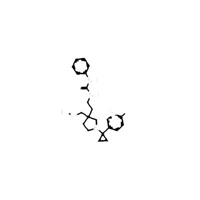 CCOCC1(CCNC(=O)Nc2ccccc2)CCN(C2(c3ccc(C)nc3)CC2)C1